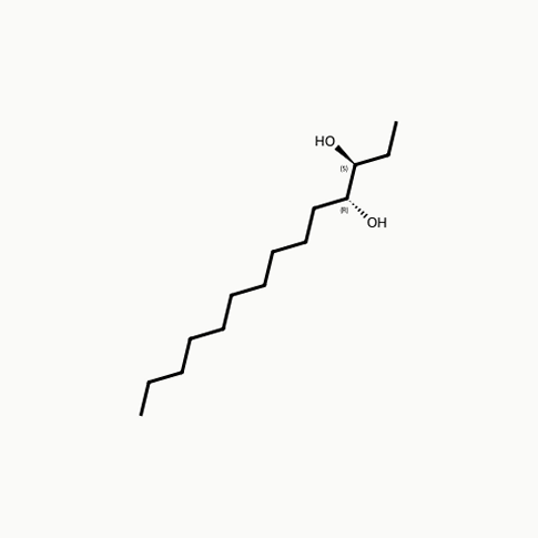 CCCCCCCCCC[C@@H](O)[C@@H](O)CC